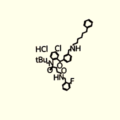 CC(C)(C)CN1C(=O)C(CC(=O)NCc2ccccc2F)OC(c2cccc(CNCCCCCCc3ccccc3)c2)c2cc(Cl)ccc21.Cl